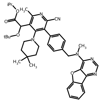 Cc1nc(C#N)c(-c2ccc(CN(C)c3ncnc4c3oc3ccccc34)cc2)c(N2CCC(C)(C)CC2)c1C(OC(C)(C)C)C(=O)OC(C)C